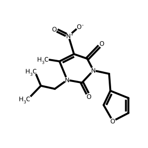 Cc1c([N+](=O)[O-])c(=O)n(Cc2ccoc2)c(=O)n1CC(C)C